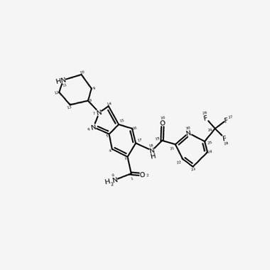 NC(=O)c1cc2nn(C3CCNCC3)cc2cc1NC(=O)c1cccc(C(F)(F)F)n1